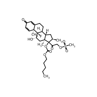 CCCCCOC(=O)O[C@]1(C(=O)COS(C)(=O)=O)[C@H](C)C[C@H]2[C@@H]3CCC4=CC(=O)C=C[C@]4(C)[C@@]3(F)[C@@H](O)C[C@@]21C